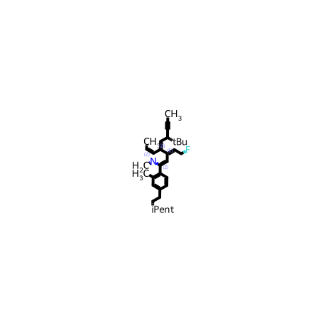 C=N\C(=C/C(=C\CF)C(/C=C\C)=C\C(C#CC)C(C)(C)C)c1ccc(CCC(C)CCC)cc1C